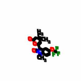 Cn1c2ccc(OC(F)(F)F)cc2c(C2=CC(C)(C)CC(=O)O2)[n+]1[O-]